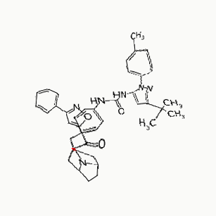 Cc1ccc(-n2nc(C(C)(C)C)cc2NC(=O)Nc2ccc(CC3CC4CCC(C3)N4CC(=O)c3cc(-c4ccccc4)no3)cc2)cc1